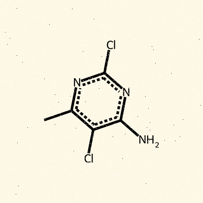 Cc1nc(Cl)nc(N)c1Cl